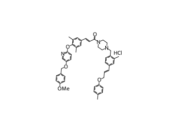 COc1ccc(COc2ccc(Oc3c(C)cc(C=CC(=O)N4CCN(Cc5ccc(C=CCOc6ccc(C)cc6)cc5C)CC4)cc3C)nc2)cc1.Cl